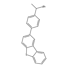 CC(C)C(C)c1ccc(-c2ccc3sc4ccccc4c3c2)cc1